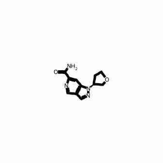 NC(=O)c1cc2c(cn1)cnn2[C@H]1CCOC1